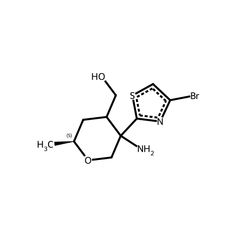 C[C@H]1CC(CO)C(N)(c2nc(Br)cs2)CO1